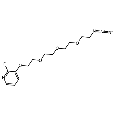 [N-]=[N+]=NCCOCCOCCOCCOc1cccnc1F